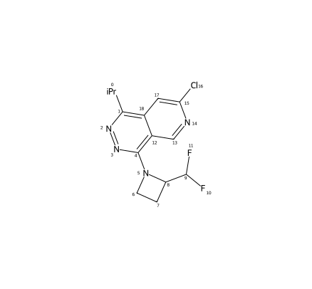 CC(C)c1nnc(N2CCC2C(F)F)c2cnc(Cl)cc12